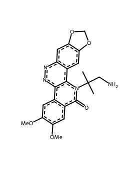 COc1cc2c(=O)n(C(C)(C)CN)c3c4cc5c(cc4nnc3c2cc1OC)OCO5